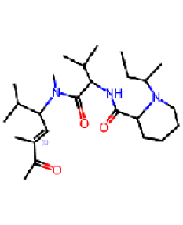 CCC(C)N1CCCCC1C(=O)NC(C(=O)N(C)C(/C=C(\C)C(C)=O)C(C)C)C(C)C